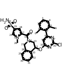 Cc1cccc(C)c1-c1cc(OC2CN(C(=O)c3cc(S(N)(=O)=O)cn3C)Cc3ccccc32)nc(Cl)n1